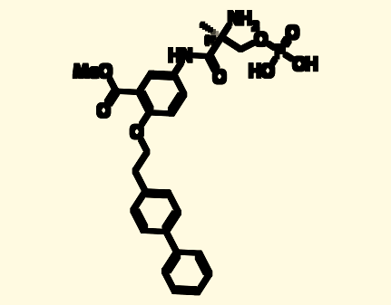 COC(=O)c1cc(NC(=O)[C@@](C)(N)COP(=O)(O)O)ccc1OCCc1ccc(-c2ccccc2)cc1